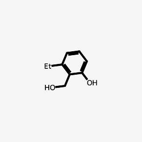 [CH2]Cc1cccc(O)c1CO